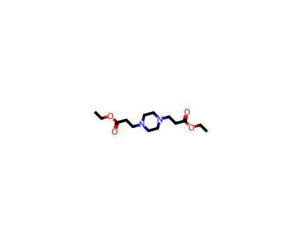 CCOC(=O)CCN1CCN(CCC(=O)OCC)CC1